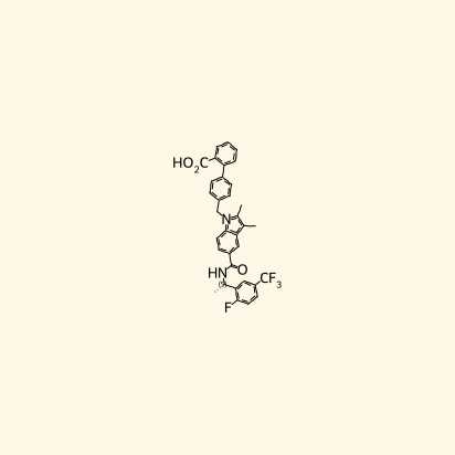 Cc1c(C)n(Cc2ccc(-c3ccccc3C(=O)O)cc2)c2ccc(C(=O)N[C@@H](C)c3cc(C(F)(F)F)ccc3F)cc12